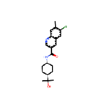 Cc1cc2ncc(C(=O)N[C@H]3CC[C@H](C(C)(C)O)CC3)cc2cc1Cl